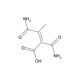 C/C(C(N)=O)=C(\C(N)=O)C(=O)O